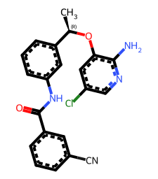 C[C@@H](Oc1cc(Cl)cnc1N)c1cccc(NC(=O)c2cccc(C#N)c2)c1